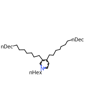 CCCCCCCCCCCCCCCCCc1cc[n+](CCCCCC)cc1CCCCCCCCCCCCCCCCC